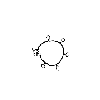 O=C1CCCC(=O)NCC(=O)CCC(=O)CCC(=O)CCC(=O)CC1